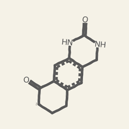 O=C1NCc2cc3c(cc2N1)C(=O)[C]CC3